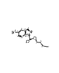 CCCCOC(=O)n1ncc2cc(Br)cnc21